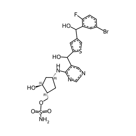 NS(=O)(=O)OC[C@H]1C[C@@H](Nc2ncncc2C(O)c2cc(C(O)c3cc(Br)ccc3F)cs2)C[C@@H]1O